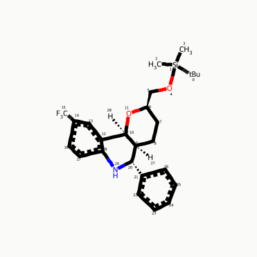 CC(C)(C)[Si](C)(C)OC[C@H]1CC[C@@H]2[C@H](O1)c1cc(C(F)(F)F)ccc1N[C@H]2c1ccccc1